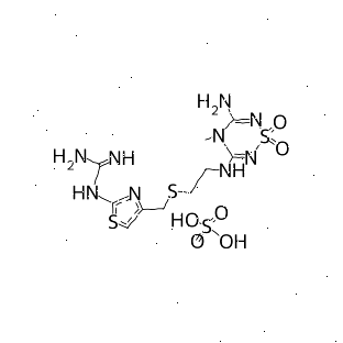 CN1C(N)=NS(=O)(=O)N=C1NCCSCc1csc(NC(=N)N)n1.O=S(=O)(O)O